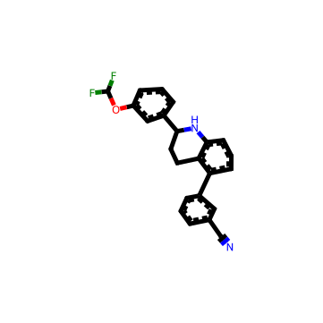 N#Cc1cccc(-c2cccc3c2CCC(c2cccc(OC(F)F)c2)N3)c1